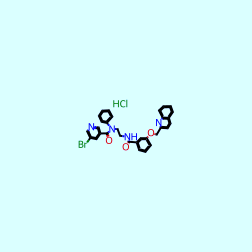 Cl.O=C(NCCN(C(=O)c1cncc(Br)c1)c1ccccc1)c1cccc(OCc2ccc3ccccc3n2)c1